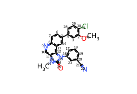 COc1cc(-c2ccc3ncc4c(c3c2)n(-c2cccc(C#N)c2)c(=O)n4C)ccc1Cl